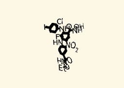 CCONC(=O)c1ccc(Nc2c([N+](=O)[O-])cc(C(=O)NO)c(Nc3ccc(I)cc3Cl)c2F)cc1